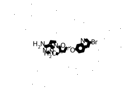 C=C[C@@H]1C[C@@H](COc2ccc3cc(Br)cnc3c2)O[C@H]1n1ccc2c(N)ncnc21